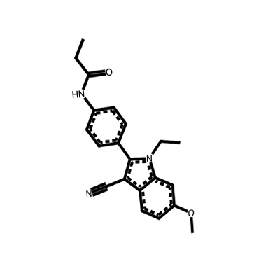 CCC(=O)Nc1ccc(-c2c(C#N)c3ccc(OC)cc3n2CC)cc1